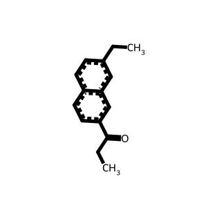 CCC(=O)c1ccc2ccc(CC)cc2c1